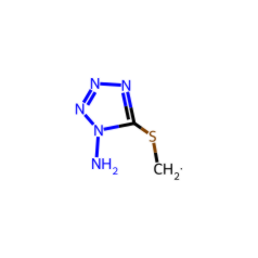 [CH2]Sc1nnnn1N